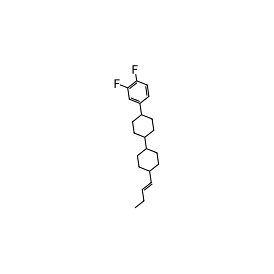 CCC=CC1CCC(C2CCC(c3ccc(F)c(F)c3)CC2)CC1